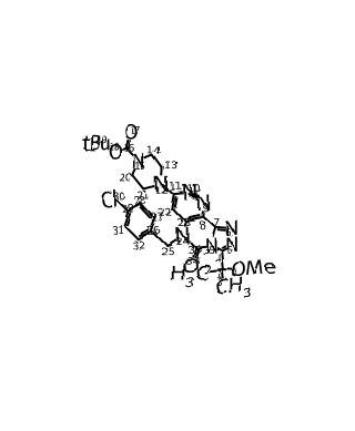 COC(C)(C)c1nnc2c3nnc(N4CCN(C(=O)OC(C)(C)C)CC4)cc3n(Cc3ccc(Cl)cc3)c(=O)n12